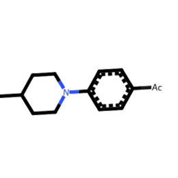 CC(=O)c1ccc(N2CCC(C)CC2)cc1